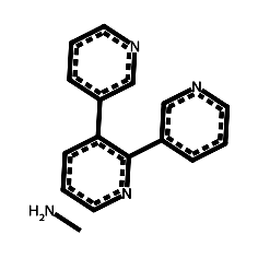 CN.c1cncc(-c2cccnc2-c2cccnc2)c1